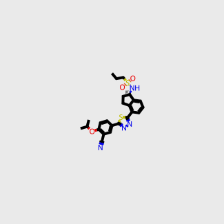 CCCS(=O)(=O)N[C@@H]1CCc2c(-c3nnc(-c4ccc(OC(C)C)c(C#N)c4)s3)cccc21